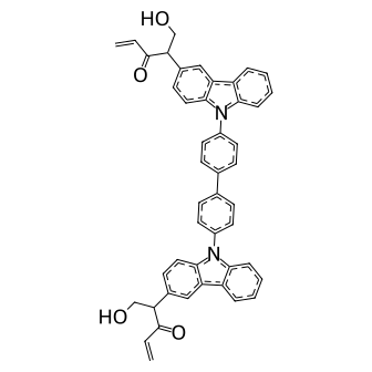 C=CC(=O)C(CO)c1ccc2c(c1)c1ccccc1n2-c1ccc(-c2ccc(-n3c4ccccc4c4cc(C(CO)C(=O)C=C)ccc43)cc2)cc1